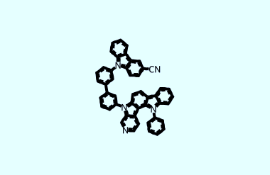 N#Cc1ccc2c(c1)c1ccccc1n2-c1cccc(-c2cccc(-n3c4cnccc4c4c3ccc3c5ccccc5n(-c5ccccc5)c34)c2)c1